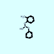 Cc1ccccc1OP(O)Oc1ccccc1